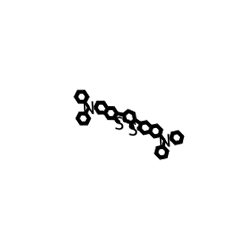 c1ccc(N(c2ccccc2)c2ccc3cc4c(cc3c2)sc2c4ccc3c4cc5ccc(N(c6ccccc6)c6ccccc6)cc5cc4sc32)cc1